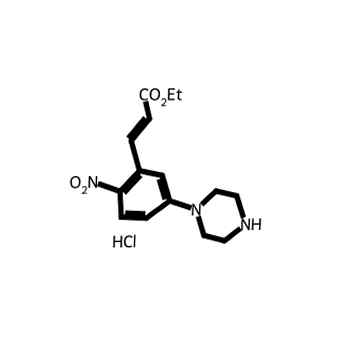 CCOC(=O)/C=C/c1cc(N2CCNCC2)ccc1[N+](=O)[O-].Cl